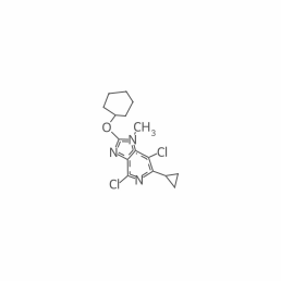 Cn1c(OC2CCCCC2)nc2c(Cl)nc(C3CC3)c(Cl)c21